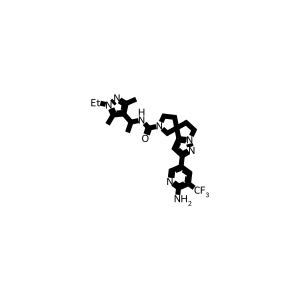 CCn1nc(C)c(C(C)NC(=O)N2CCC3(CCn4nc(-c5cnc(N)c(C(F)(F)F)c5)cc43)C2)c1C